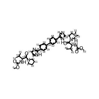 COC(=O)N[C@H](C(=O)N1CCC[C@H]1c1cnc(-c2ccc(-c3ccc(-c4cnc([C@@H]5C[Si](C)(C)CN5C(=O)[C@@H](NC(=O)OC)C(C)C)[nH]4)cc3)cc2)[nH]1)C(C)C